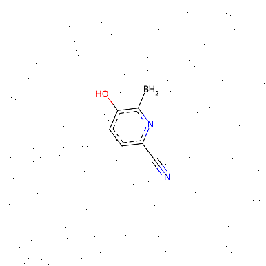 Bc1nc(C#N)ccc1O